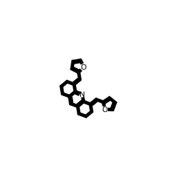 C(=C1CCCc2cc3c(nc21)C(=Cc1ccco1)CCC3)c1ccco1